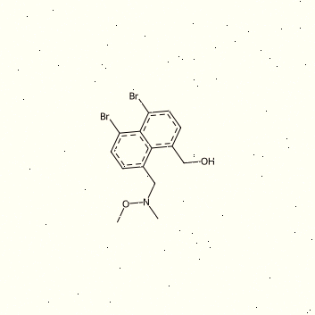 CON(C)Cc1ccc(Br)c2c(Br)ccc(CO)c12